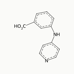 O=C(O)c1cccc(Nc2ccncc2)c1